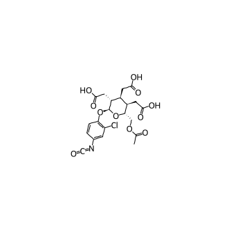 CC(=O)OC[C@@H]1O[C@@H](Oc2ccc(N=C=O)cc2Cl)[C@H](CC(=O)O)[C@@H](CC(=O)O)[C@H]1CC(=O)O